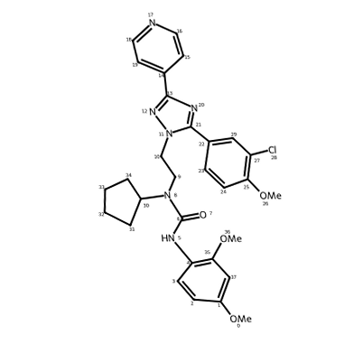 COc1ccc(NC(=O)N(CCn2nc(-c3ccncc3)nc2-c2ccc(OC)c(Cl)c2)C2CCCC2)c(OC)c1